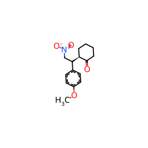 COc1ccc(C(C[N+](=O)[O-])[C@H]2CCCCC2=O)cc1